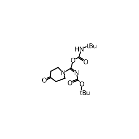 CC(C)(C)NC(=O)OC(=NC(=O)OC(C)(C)C)N1CCC(=O)CC1